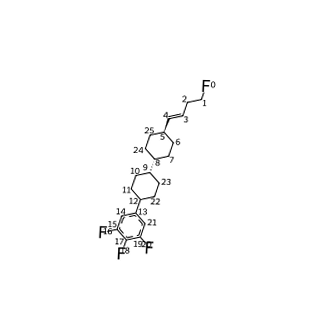 FCC/C=C/[C@H]1CC[C@H](C2CCC(c3cc(F)c(F)c(F)c3)CC2)CC1